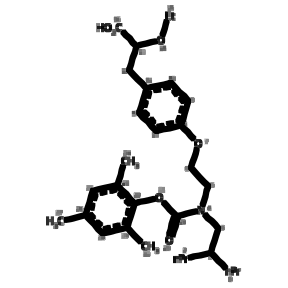 CCCC(CCC)CN(CCOc1ccc(CC(OCC)C(=O)O)cc1)C(=O)Oc1c(C)cc(C)cc1C